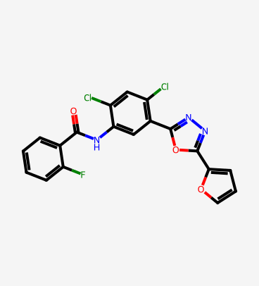 O=C(Nc1cc(-c2nnc(-c3ccco3)o2)c(Cl)cc1Cl)c1ccccc1F